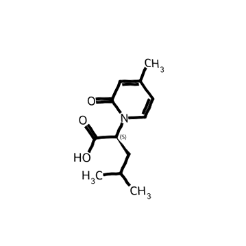 Cc1ccn([C@@H](CC(C)C)C(=O)O)c(=O)c1